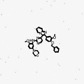 COc1ccc(N2CCSCC2)cc1Nc1nccc(-c2c(-c3ccc(OCc4ccccc4)c(OC)c3)nc3ccccn23)n1